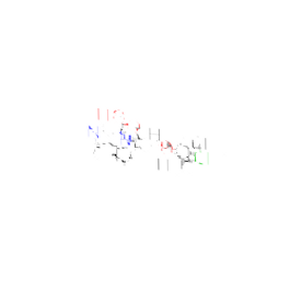 Cc1cnccc1-c1cccc2c(CCCOc3cc(C)c(Cl)c(C)c3)c(C)n(CC(=O)O)c12